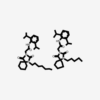 CCCCCCCN1C(=O)N(CC(=O)Nc2c(C(C)C)cccc2C(C)C)C(=O)C12CCCCC2.CCCCCN1C(=O)N(CC(=O)Nc2c(C(C)C)cccc2C(C)C)C(=O)C12CCCCC2